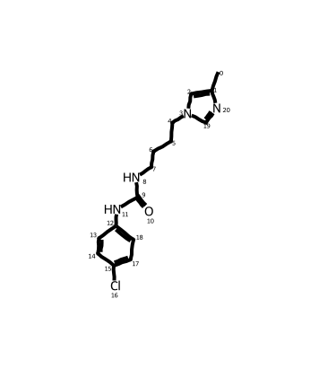 Cc1cn(CCCCNC(=O)Nc2ccc(Cl)cc2)cn1